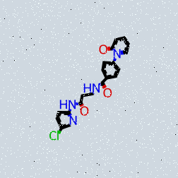 O=C(CCNC(=O)c1ccc(-n2ccccc2=O)cc1)Nc1ccc(Cl)cn1